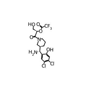 N[C@@H](c1cc(Cl)c(Cl)cc1O)[C@@H]1CCCN(C(=O)[C@@H](CO)OC(=O)C(F)(F)F)C1